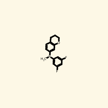 CN(c1cc(F)cc(F)c1)c1ccc2c(c1)OCCC2